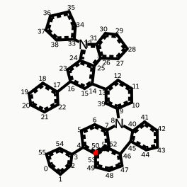 c1ccc(-c2ccc(N(c3cccc(-c4cc(-c5ccccc5)cc5c4c4ccccc4n5-c4ccccc4)c3)c3ccccc3-c3ccccc3)cc2)cc1